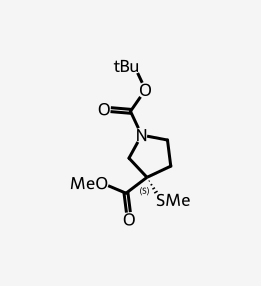 COC(=O)[C@]1(SC)CCN(C(=O)OC(C)(C)C)C1